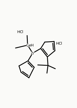 Cl.Cl.[CH3][GeH]([CH3])[Zr]([C]1=CC=CC1)[C]1=C(C(C)(C)C)C=CC1